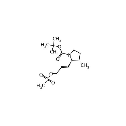 C[C@H]1CCN(C(=O)OC(C)(C)C)[C@@H]1/C=C/COS(C)(=O)=O